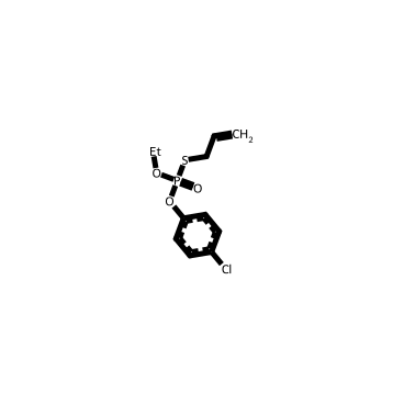 C=CCSP(=O)(OCC)Oc1ccc(Cl)cc1